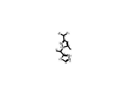 Cc1cc(C(F)F)nn1C(C)c1nncs1